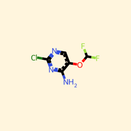 Nc1nc(Cl)ncc1OC(F)F